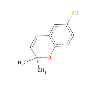 CC1(C)C=Cc2cc(S)ccc2O1